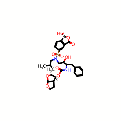 CC(C)CN(CC(O)C(Cc1ccccc1)NC(=O)O[C@H]1COC2OCCC21)S(=O)(=O)c1ccc2c(c1)C(=O)OB2O